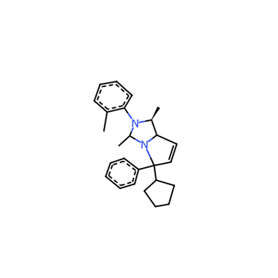 Cc1ccccc1N1C(C)N2C(C=CC2(c2ccccc2)C2CCCC2)[C@@H]1C